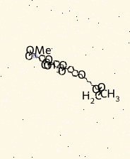 C=C(C)C(=O)OCCCCCCOc1ccc2cc(C(=O)Oc3ccc(C(=O)Oc4ccc(/C=C/C(=O)OC)cc4C)cc3)ccc2c1